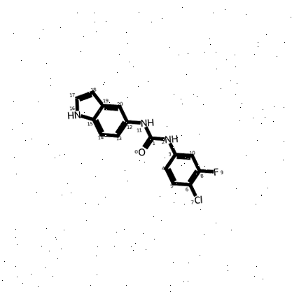 O=C(Nc1ccc(Cl)c(F)c1)Nc1ccc2[nH]ccc2c1